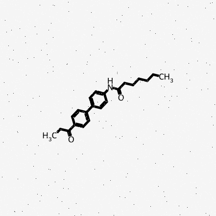 CCCCCCC(=O)Nc1ccc(-c2ccc(C(=O)CC)cc2)cc1